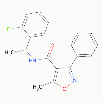 Cc1onc(-c2ccccc2)c1C(=O)N[C@H](C)c1ccccc1F